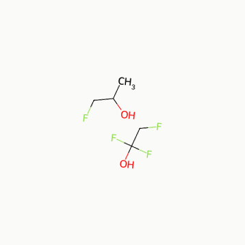 CC(O)CF.OC(F)(F)CF